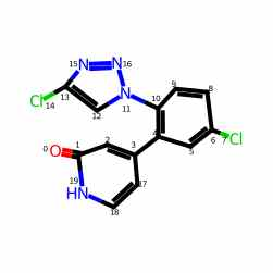 O=c1cc(-c2cc(Cl)ccc2-n2cc(Cl)nn2)cc[nH]1